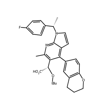 Cc1nc2c(ccn2[C@@H](C)c2ccc(F)cc2)c(-c2ccc3c(c2)CCCO3)c1[C@H](OC(C)(C)C)C(=O)O